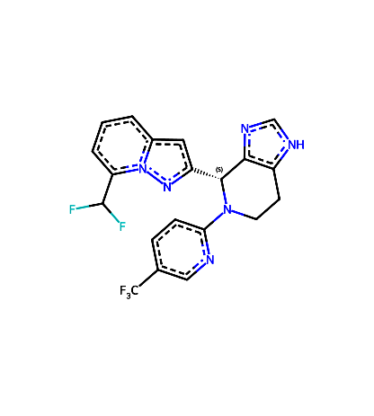 FC(F)c1cccc2cc([C@@H]3c4nc[nH]c4CCN3c3ccc(C(F)(F)F)cn3)nn12